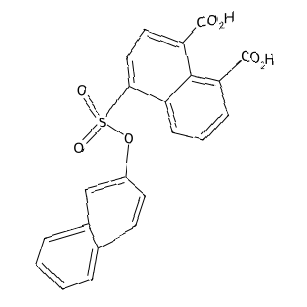 O=C(O)c1cccc2c(S(=O)(=O)Oc3ccc4ccccc4c3)ccc(C(=O)O)c12